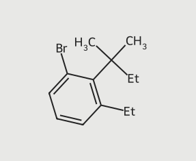 CCc1cccc(Br)c1C(C)(C)CC